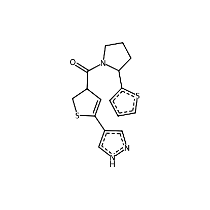 O=C(C1C=C(c2cn[nH]c2)SC1)N1CCCC1c1cccs1